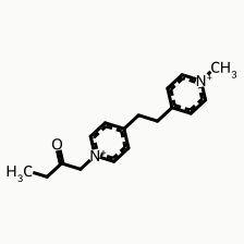 CCC(=O)C[n+]1ccc(CCc2cc[n+](C)cc2)cc1